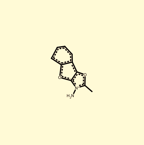 Cc1oc2c3ccccc3oc2[n+]1N